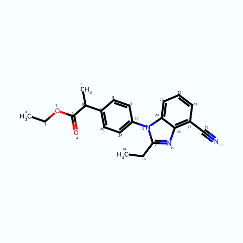 CCOC(=O)C(C)c1ccc(-n2c(CC)nc3c(C#N)cccc32)cc1